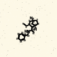 CC[C@H]1C[C@H]2CC[C@H](C2)C1C(C)NCc1ccccc1